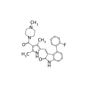 Cc1[nH]c(/C=C2\C(=O)Nc3cccc(-c4ccccc4F)c32)c(C)c1C(=O)N1CCN(C)CC1